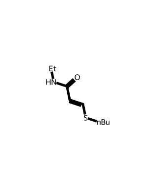 CCCCSC=CC(=O)NCC